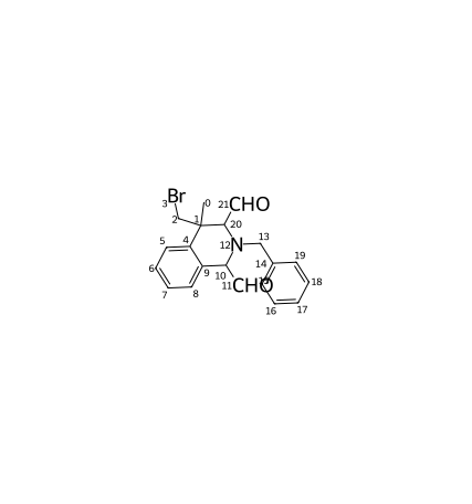 CC1(CBr)c2ccccc2C(C=O)N(Cc2ccccc2)C1C=O